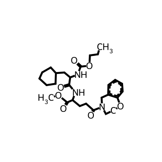 CCCOC(=O)NC(CC1CCCCC1)C(=O)NC(CCC(=O)N1CCOc2ccccc2C1)C(=O)OC